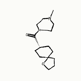 CN1CCN(C(=O)[C@H]2CC[C@]3(CCCO3)CC2)CC1